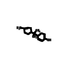 CC1=CCC(C(C)(C)C2C=CC(O)=CC2)CC1